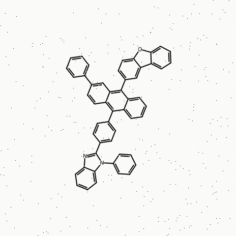 c1ccc(-c2ccc3c(-c4ccc(-c5nc6ccccc6n5-c5ccccc5)cc4)c4ccccc4c(-c4ccc5oc6ccccc6c5c4)c3c2)cc1